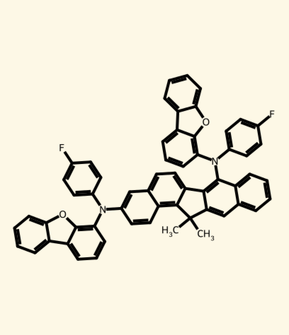 CC1(C)c2cc3ccccc3c(N(c3ccc(F)cc3)c3cccc4c3oc3ccccc34)c2-c2ccc3cc(N(c4ccc(F)cc4)c4cccc5c4oc4ccccc45)ccc3c21